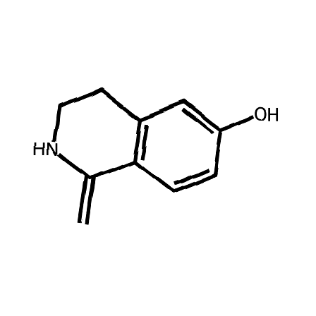 C=C1NCCc2cc(O)ccc21